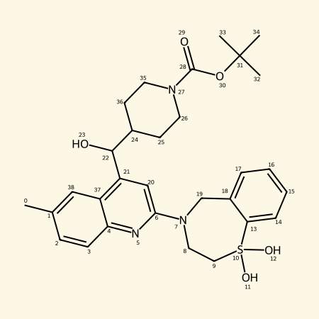 Cc1ccc2nc(N3CCS(O)(O)c4ccccc4C3)cc(C(O)C3CCN(C(=O)OC(C)(C)C)CC3)c2c1